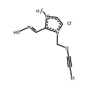 CCC#COCn1cc[n+](C)c1C=NO.[Cl-]